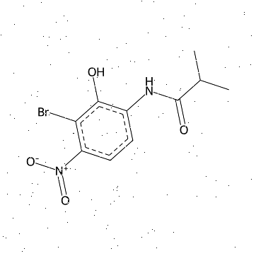 CC(C)C(=O)Nc1ccc([N+](=O)[O-])c(Br)c1O